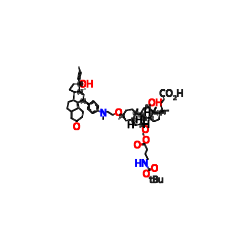 CC#C[C@@]1(O)CCC2C3CCC4=CC(=O)CCC4=C3[C@H](c3ccc(N(C)CCO[C@@]4(C)CC[C@@]5(C)[C@H](C[C@@H](OCOC(=O)CCCNC(=O)OC(C)(C)C)[C@@H]6[C@@H]5C[C@H](O)[C@]5(C)[C@@H]([C@H](C)CCC(=O)O)CC[C@@H]65)C4)cc3)C[C@@]21C